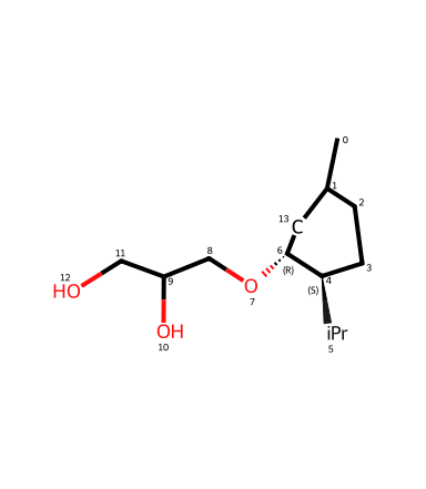 CC1CC[C@@H](C(C)C)[C@H](OCC(O)CO)C1